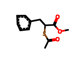 COC(=O)C(Cc1ccccc1)SC(C)=O